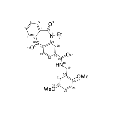 CCN1C(=O)c2ccccc2[S+]([O-])c2ccc(C(=O)NCc3cc(OC)ccc3OC)cc21